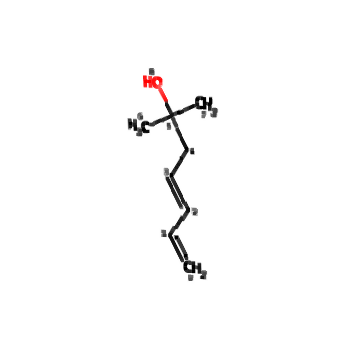 C=CC=CCC(C)(C)O